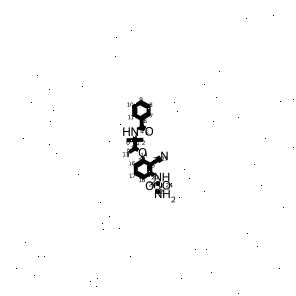 CC(C)(NC(=O)c1ccccc1)C(I)Oc1cccc(NS(N)(=O)=O)c1C#N